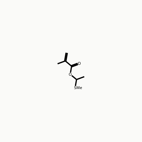 C=C(C)C(=O)OC(C)SC